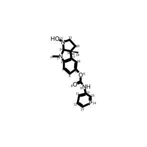 CN1c2ccc(OC(=O)Nc3cccpc3)cc2[C@@]2(C)CCN(O)C12